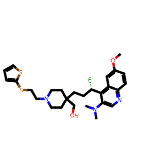 COc1ccc2ncc(N(C)C)c([C@@H](F)CCC3(CO)CCN(CCSc4cccs4)CC3)c2c1